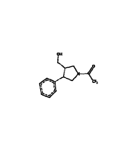 O=C(N1CC(CO)C(c2ccccc2)C1)C(F)(F)F